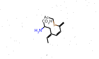 C=C(/C=C\C(=C/C)CC(N)C(=O)O)SCC(C)=O